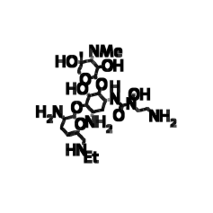 CCNCC1=CC[C@@H](N)[C@@H](OC2[C@@H](N)C[C@@H](NC(=O)N(O)CCN)[C@H](O[C@H]3OC[C@](C)(O)[C@H](NC)[C@H]3O)[C@H]2O)O1